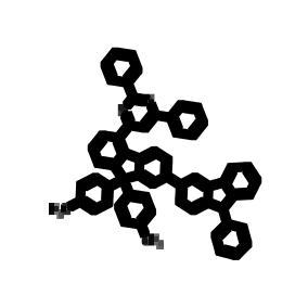 Cc1ccc(C2(c3ccc(C)cc3)c3cc(-c4ccc5c(c4)-c4ccccc4C5c4ccccc4)ccc3-c3c(-c4cc(-c5ccccc5)nc(-c5ccccc5)n4)cccc32)cc1